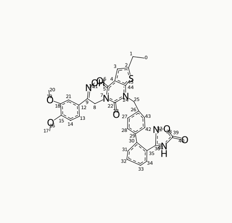 CCc1cc2c(=O)n(C/C(=N\O)c3ccc(OC)c(OC)c3)c(=O)n(Cc3ccc(-c4ccccc4-c4noc(=O)[nH]4)cc3)c2s1